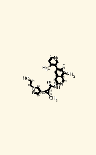 Cc1ccncc1-c1cc2cc(NC(=O)C3[C@@H](C)[C@H]3c3cnn(CCO)c3)ncc2c(N)c1F